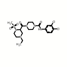 CCN1CCN(S(C)(=O)=O)C(C(=O)N2CCN(C(=O)Nc3ccc(Cl)c(Cl)c3)CC2)C1